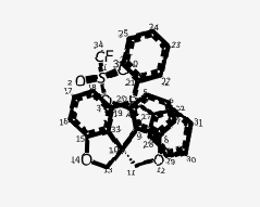 O=S(=O)(Oc1cccc2c1[C@@]1(CO2)COc2cccc(P(c3ccccc3)c3ccccc3)c21)C(F)(F)F